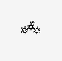 Oc1cc(N2CCOCC2)cc(N2CCOCC2)c1